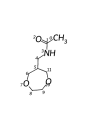 CC(=O)NCC1COCCOC1